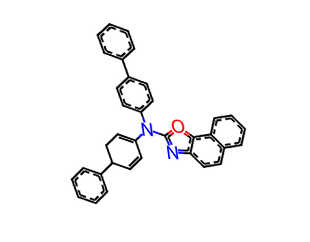 C1=CC(c2ccccc2)CC=C1N(c1ccc(-c2ccccc2)cc1)c1nc2ccc3ccccc3c2o1